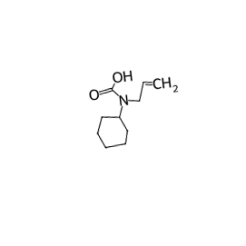 C=CCN(C(=O)O)C1CCCCC1